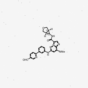 CNc1cc(Nc2cccc(-c3ccc(C=O)cn3)c2)nn2c(C(=O)N[C@H]3[C@@H]4COC[C@@H]43)cnc12